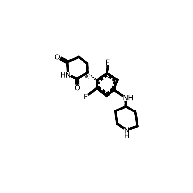 O=C1CC[C@H](c2c(F)cc(NC3CCNCC3)cc2F)C(=O)N1